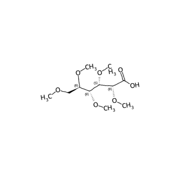 COC[C@@H](OC)[C@@H](OC)[C@H](OC)[C@@H](OC)C(=O)O